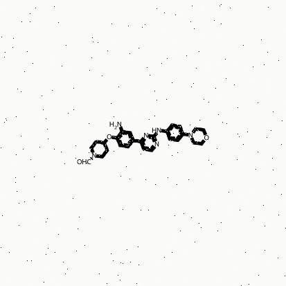 Nc1cc(-c2ccnc(Nc3ccc(N4CCOCC4)cc3)n2)ccc1OC1CCN(C=O)CC1